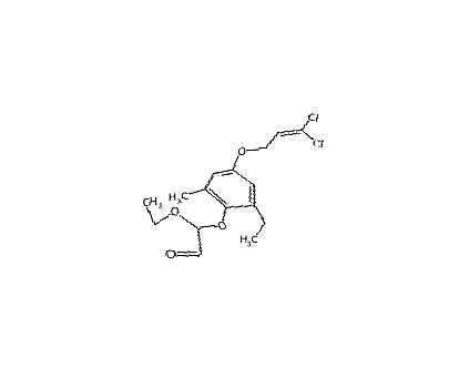 CCOC(C=O)Oc1c(C)cc(OCC=C(Cl)Cl)cc1CC